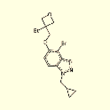 CCC1(COc2ccc3c(nnn3CC3CC3)c2Br)COC1